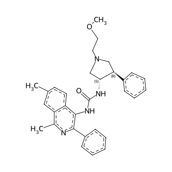 COCCN1C[C@@H](NC(=O)Nc2c(-c3ccccc3)nc(C)c3cc(C)ccc23)[C@H](c2ccccc2)C1